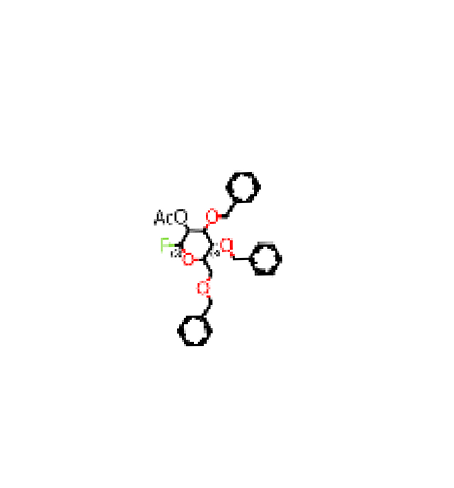 CC(=O)OC1C(OCc2ccccc2)[C@H](OCc2ccccc2)C(COCc2ccccc2)O[C@H]1F